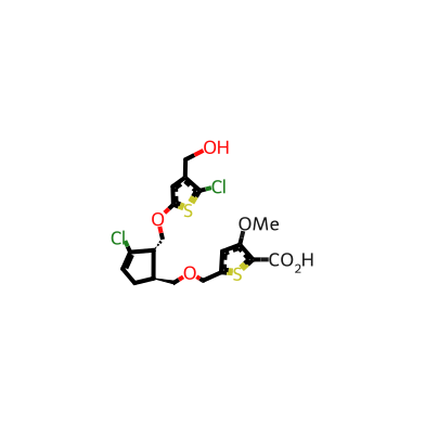 COc1cc(COC[C@H]2CC=C(Cl)[C@@H]2COc2cc(CO)c(Cl)s2)sc1C(=O)O